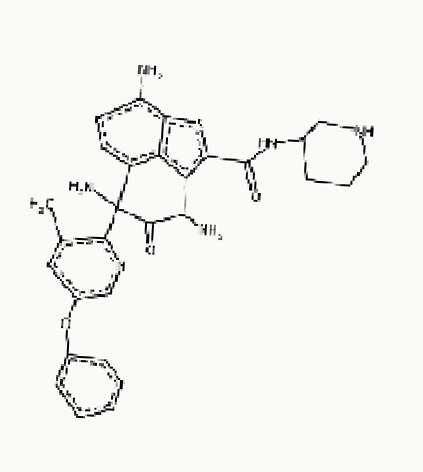 Cc1cc(Oc2ccccc2)cnc1C1(N)C(=O)C(N)c2c(C(=O)NC3CCCNC3)sc3c(N)ccc1c23